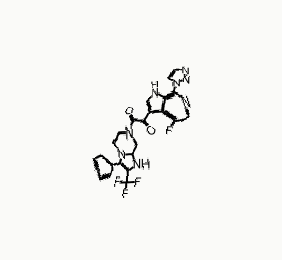 O=C(C(=O)N1CCN2C(c3ccccc3)=C(C(F)(F)F)NC2C1)c1c[nH]c2c(-n3ccnn3)ncc(F)c12